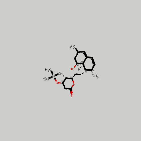 CC1C=C2C=C[C@H](C)[C@H](CC[C@@H]3C[C@H](O[Si](C)(C)C(C)(C)C)CC(=O)O3)[C@H]2[C@@H](O)C1